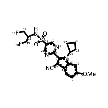 COc1ccc2c(C#N)c(-c3ncc(S(=O)(=O)NC(CF)CF)cn3)n(C3CCC3)c2c1